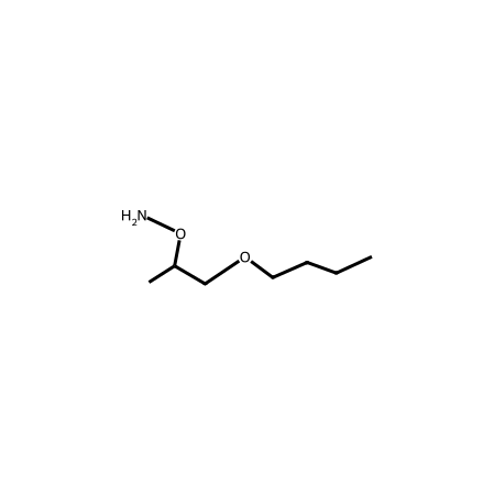 CCCCOCC(C)ON